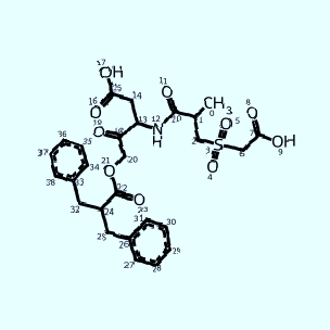 CC(CS(=O)(=O)CC(=O)O)C(=O)NC(CC(=O)O)C(=O)COC(=O)C(Cc1ccccc1)Cc1ccccc1